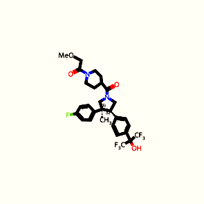 COCC(=O)N1CCC(C(=O)N2C[C@@H](c3ccc(C(O)(C(F)(F)F)C(F)(F)F)cc3)[C@@](C)(c3ccc(F)cc3)C2)CC1